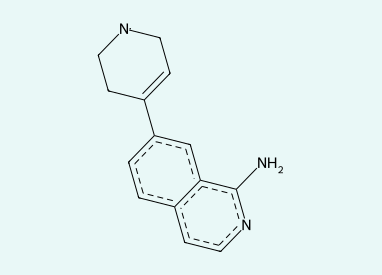 Nc1nccc2ccc(C3=CC[N]CC3)cc12